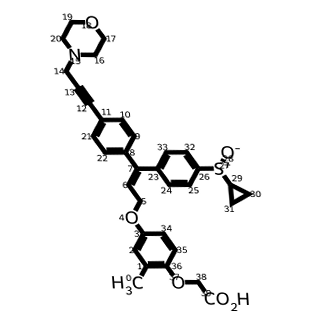 Cc1cc(OC/C=C(/c2ccc(C#CCN3CCOCC3)cc2)c2ccc([S+]([O-])C3CC3)cc2)ccc1OCC(=O)O